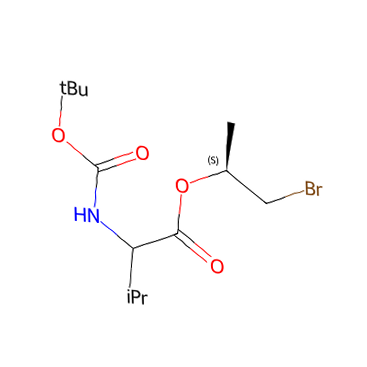 CC(C)C(NC(=O)OC(C)(C)C)C(=O)O[C@@H](C)CBr